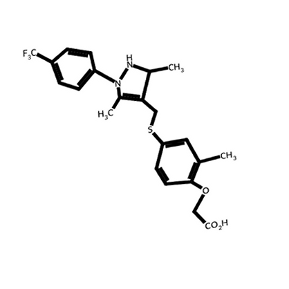 CC1=C(CSc2ccc(OCC(=O)O)c(C)c2)C(C)NN1c1ccc(C(F)(F)F)cc1